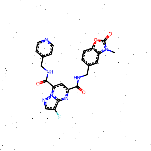 Cn1c(=O)oc2ccc(CNC(=O)c3cc(C(=O)NCc4ccncc4)n4ncc(F)c4n3)cc21